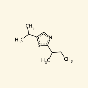 CCC(C)c1ncc(C(C)C)s1